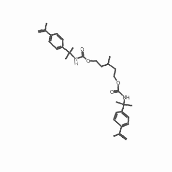 C=C(C)c1ccc(C(C)(C)NC(=O)OCCC(C)CCOC(=O)NC(C)(C)c2ccc(C(=C)C)cc2)cc1